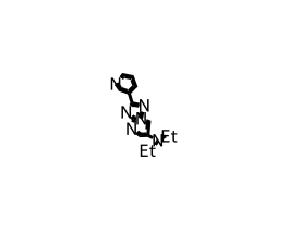 CCN(CC)c1cnc2nc(-c3cccnc3)nn2c1